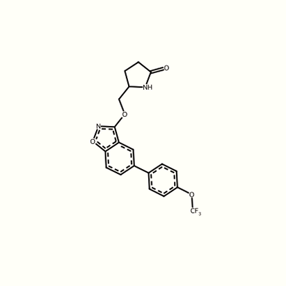 O=C1CCC(COc2noc3ccc(-c4ccc(OC(F)(F)F)cc4)cc23)N1